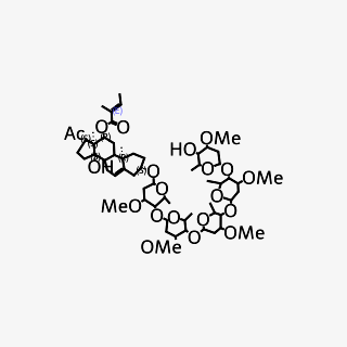 C/C=C(\C)C(=O)O[C@@H]1CC2C(CC=C3C[C@@H](OC4CC(OC)C(OC5CC(OC)C(OC6CC(OC)C(OC7CC(OC)C(OC8CC(OC)C(O)C(C)O8)C(C)O7)C(C)O6)C(C)O5)C(C)O4)CC[C@@]32C)[C@@]2(O)CC[C@H](C(C)=O)[C@@]12C